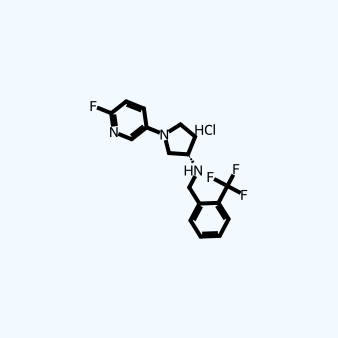 Cl.Fc1ccc(N2CC[C@H](NCc3ccccc3C(F)(F)F)C2)cn1